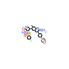 COc1ncc(-c2cc3cc(-c4ccc(N5CCOCC5)cc4)c(N)nc3cc2C)cc1NS(=O)(=O)c1ccc(F)cc1F